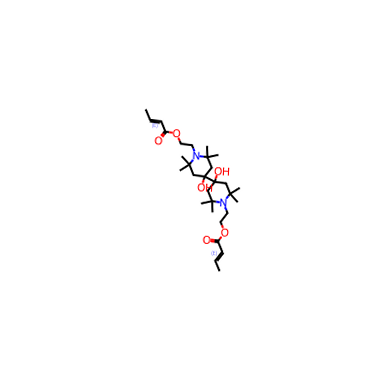 C/C=C/C(=O)OCCN1C(C)(C)CC(O)(C2(O)CC(C)(C)N(CCOC(=O)/C=C/C)C(C)(C)C2)CC1(C)C